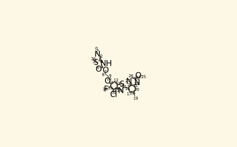 C=N/C=C(/NC(=O)OCCOc1cc2sc(-c3cc(C)cc4nc(OC)cnc34)nc2c(Cl)c1F)SC